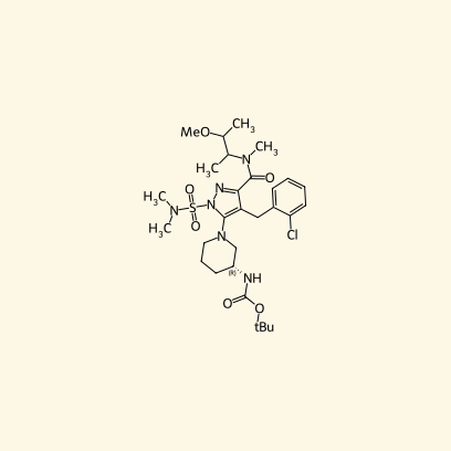 COC(C)C(C)N(C)C(=O)c1nn(S(=O)(=O)N(C)C)c(N2CCC[C@@H](NC(=O)OC(C)(C)C)C2)c1Cc1ccccc1Cl